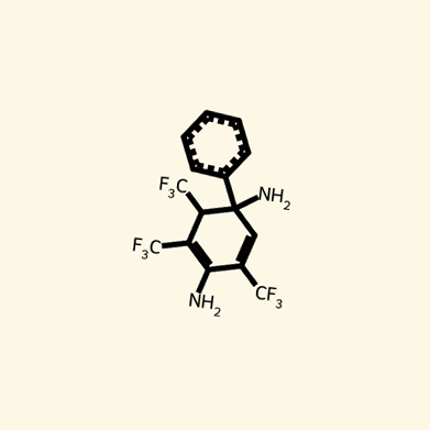 NC1=C(C(F)(F)F)C(C(F)(F)F)C(N)(c2ccccc2)C=C1C(F)(F)F